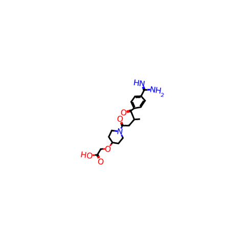 CC(CC(=O)N1CCC(OCC(=O)O)CC1)C(=O)c1ccc(C(=N)N)cc1